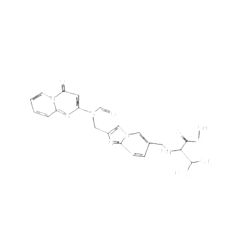 COC(=O)C(NCc1ccc2nc(CN(C=O)c3cc(=O)n4ccccc4n3)cn2c1)C(C)C